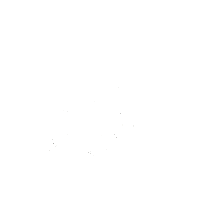 CN1C(=O)c2ccccc2C(c2cccc([N+](=O)[O-])c2)C1(Cl)CO